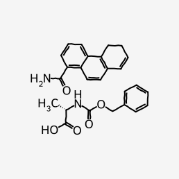 C[C@H](NC(=O)OCc1ccccc1)C(=O)O.NC(=O)c1cccc2c3c(ccc12)C=CCC3